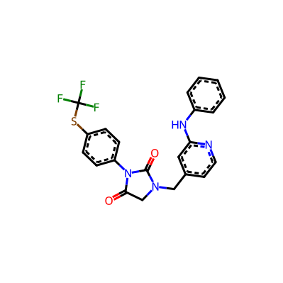 O=C1CN(Cc2ccnc(Nc3ccccc3)c2)C(=O)N1c1ccc(SC(F)(F)F)cc1